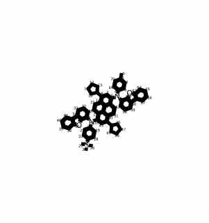 Cc1ccc(N(c2cc(C3CCCC3)c3ccc4c(N(c5ccc(S(C)(C)C)cc5)c5cccc6c5oc5ccccc56)cc(C5CCCC5)c5ccc2c3c54)c2cccc3c2oc2ccccc23)cc1